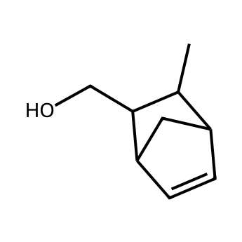 CC1C2C=CC(C2)C1CO